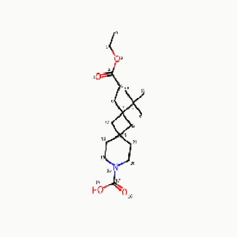 CCOC(=O)CCC1(C(C)(C)C)CC2(CCN(C(=O)O)CC2)C1